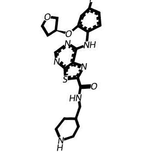 O=C(NCC1CCNCC1)c1nc2c(Nc3ccc(F)cc3O[C@H]3CCOC3)ncnc2s1